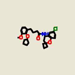 COc1cccc(CCCC(=O)N[C@H]2CC3(CCC3)Oc3ccc(Cl)cc32)c1OC1CCCC1